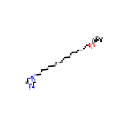 CCCOCCCCCCCCCCCCCCCn1ccnc1